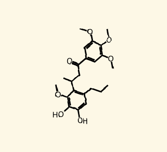 CCCc1cc(O)c(O)c(OC)c1C(C)CC(=O)c1cc(OC)c(OC)c(OC)c1